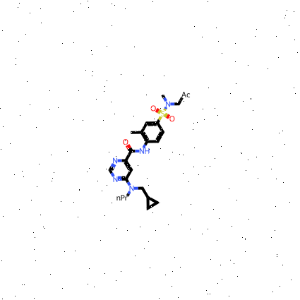 CCCN(CC1CC1)c1cc(C(=O)Nc2ccc(S(=O)(=O)N(C)CC(C)=O)cc2C)ncn1